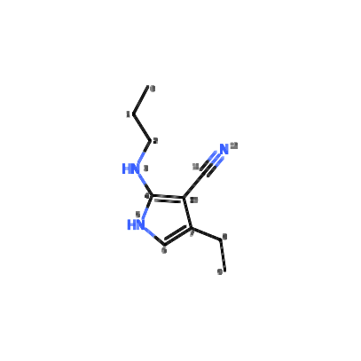 CCCNc1[nH]cc(CC)c1C#N